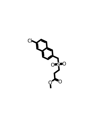 COC(=O)CCS(=O)(=O)Cc1ccc2cc(Cl)ccc2c1